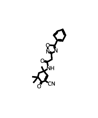 CC1(NC(=O)Cc2noc(-c3ccccc3)n2)C=C(C#N)C(=O)C(C)(C)C1